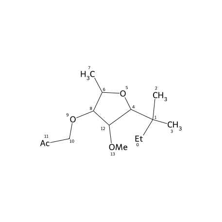 CCC(C)(C)C1OC(C)C(OCC(C)=O)C1OC